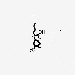 CCCCC(Oc1ccc(F)c(OC)c1)C(=O)O